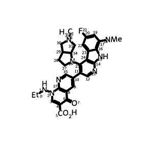 CCNn1cc(C(=O)O)c(=O)c2cc(-c3cnc4[nH]c5c(NC)cc(F)cc5c4c3N3CCC4CN(C)CC43)cnc21